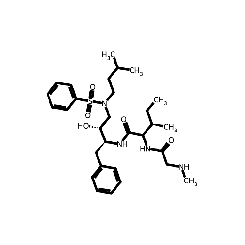 CC[C@@H](C)C(NC(=O)CNC)C(=O)N[C@@H](Cc1ccccc1)[C@H](O)CN(CCC(C)C)S(=O)(=O)c1ccccc1